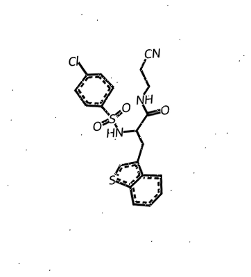 N#CCCNC(=O)C(Cc1csc2ccccc12)NS(=O)(=O)c1ccc(Cl)cc1